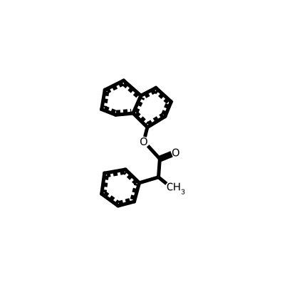 CC(C(=O)Oc1cccc2ccccc12)c1ccccc1